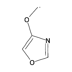 [CH2]Oc1cocn1